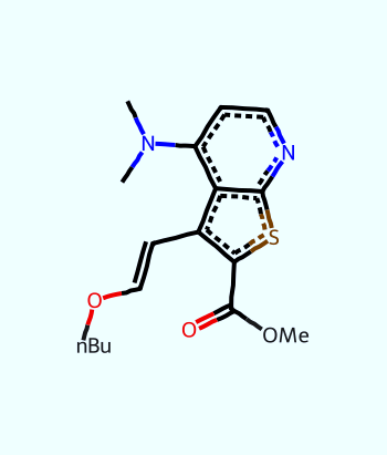 CCCCOC=Cc1c(C(=O)OC)sc2nccc(N(C)C)c12